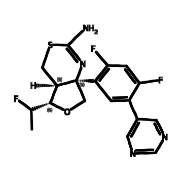 CC(F)[C@H]1OC[C@]2(c3cc(-c4cncnc4)c(F)cc3F)N=C(N)SC[C@H]12